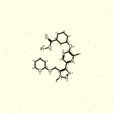 Cc1nc(-c2nnn(C)c2COC2CCCCO2)cnc1OC1CCCC(C(=O)OC(C)C)C1